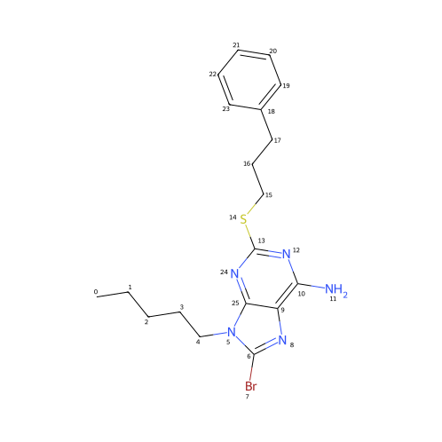 CCCCCn1c(Br)nc2c(N)nc(SCCCc3ccccc3)nc21